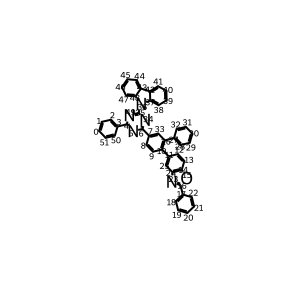 c1ccc(-c2nc(-c3ccc(-c4ccc5oc(-c6ccccc6)nc5c4)c(-c4ccccc4)c3)nc(-n3c4ccccc4c4ccccc43)n2)cc1